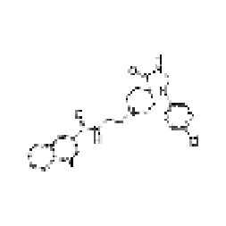 O=C(NCCN1CCC2(CC1)C(=O)NCN2c1ccc(Cl)cc1)c1cnc2ccccc2c1